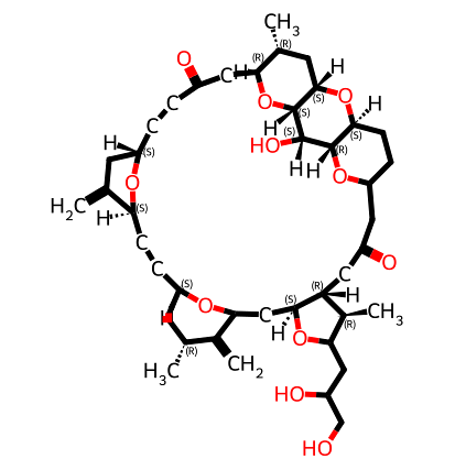 C=C1C2C[C@@H]3OC(CC(O)CO)[C@H](C)[C@H]3CC(=O)CC3CC[C@@H]4O[C@H]5C[C@@H](C)[C@@H](CC(=O)CC[C@H]6CC(=C)[C@H](CC[C@@H](C[C@H]1C)O2)O6)O[C@H]5[C@@H](O)[C@H]4O3